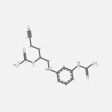 CC(=O)Nc1cccc(NCC(CCC#N)OC(C)=O)c1